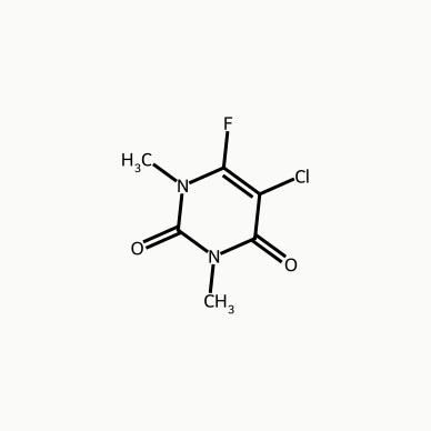 Cn1c(F)c(Cl)c(=O)n(C)c1=O